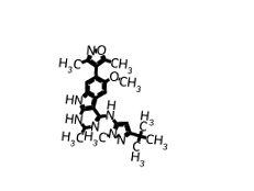 COc1cc2c3c([nH]c2cc1-c1c(C)noc1C)NC(C)N=C3Nc1cc(C(C)(C)C)nn1C